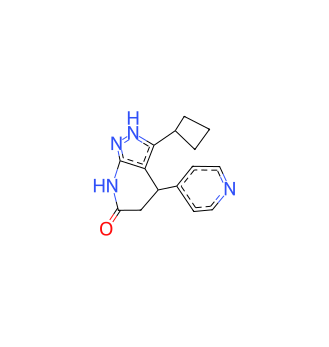 O=C1CC(c2ccncc2)c2c(n[nH]c2C2CCC2)N1